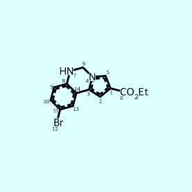 CCOC(=O)c1cc2n(c1)CNc1ccc(Br)cc1-2